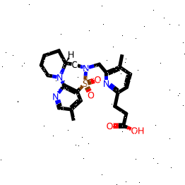 Cc1cnc2c(c1)S(=O)(=O)N(Cc1nc(CCC(=O)O)ccc1C)C[C@@H]1CCCCN21